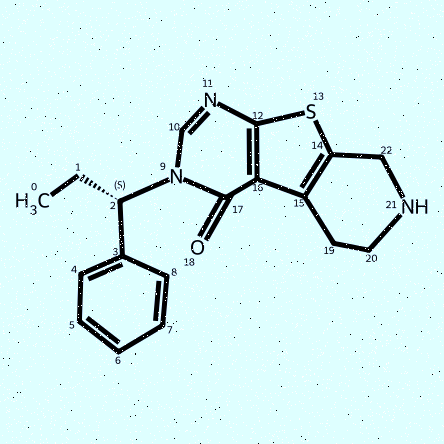 CC[C@@H](c1ccccc1)n1cnc2sc3c(c2c1=O)CCNC3